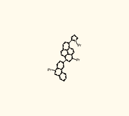 CC(C)c1cc2ccccc2c2cc(-c3cc(C(C)C)c4ccc5c(-c6cccn6C(C)C)ccc6ccc3c4c65)ccc12